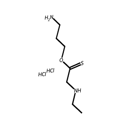 CCNCC(=S)OCCCN.Cl.Cl